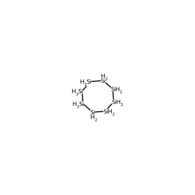 [SiH2]1[SiH2][SiH2][SiH2][SiH2][SiH2][SiH2][SiH2]1